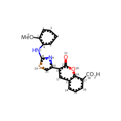 COc1ccccc1Nc1nc(-c2cc3cccc(C(=O)O)c3oc2=O)cs1